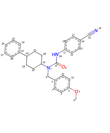 COc1ccc(CN(C(=O)Nc2ccc(C#N)cc2)C2CCC(c3ccccc3)CC2)cc1